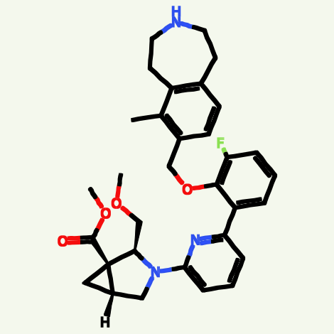 COC[C@H]1N(c2cccc(-c3cccc(F)c3OCc3ccc4c(c3C)CCNCC4)n2)C[C@@H]2C[C@@]21C(=O)OC